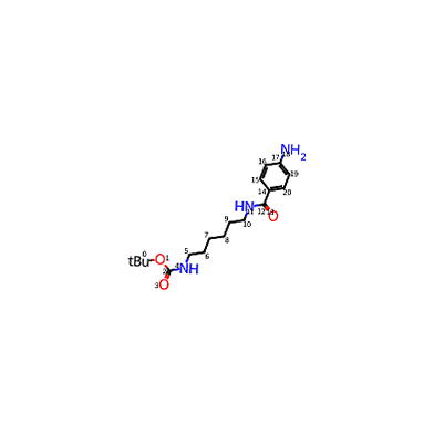 CC(C)(C)OC(=O)NCCCCCCNC(=O)c1ccc(N)cc1